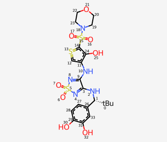 CC(C)(C)[C@@H](NC1=NS(=O)(=O)N=C1Nc1csc(S(=O)(=O)N2CCOCC2)c1O)c1ccc(O)c(O)c1